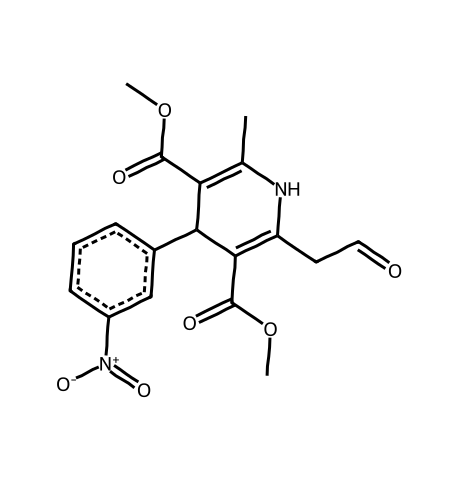 COC(=O)C1=C(C)NC(CC=O)=C(C(=O)OC)C1c1cccc([N+](=O)[O-])c1